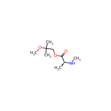 CN[C@@H](C)C(=O)OCC(C)(C)OC